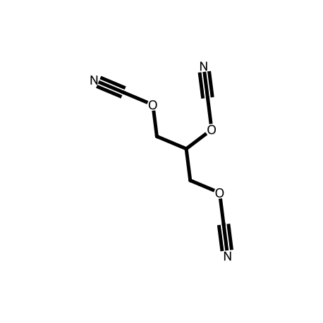 N#COCC(COC#N)OC#N